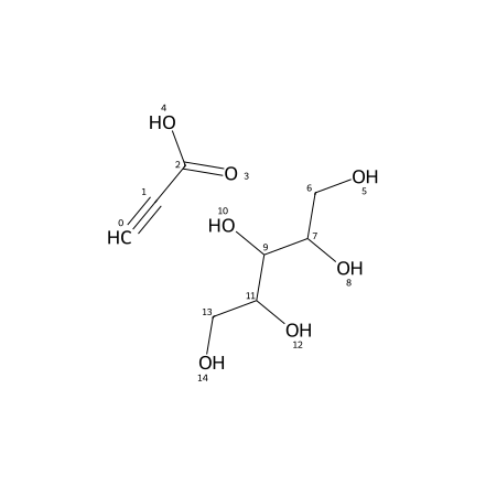 C#CC(=O)O.OCC(O)C(O)C(O)CO